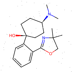 CN(C)[C@H]1CC[C@](O)(c2ccccc2C2=NC(C)(C)CO2)CC1